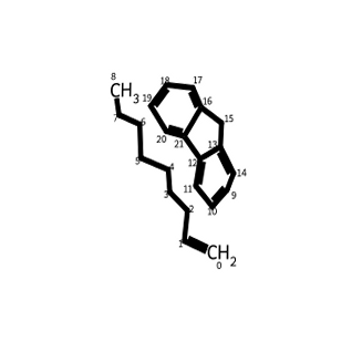 C=CCCCCCCC.c1ccc2c(c1)Cc1ccccc1-2